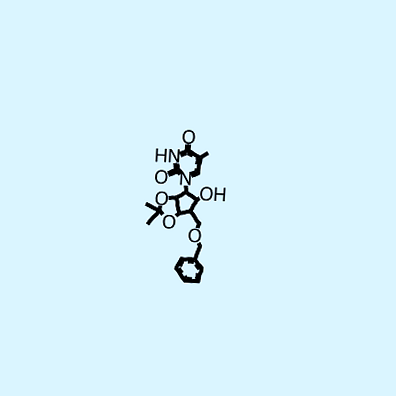 Cc1cn(C2C(O)C(COCc3ccccc3)C3OC(C)(C)OC32)c(=O)[nH]c1=O